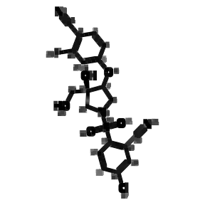 N#Cc1ccc(OC2CN(S(=O)(=O)c3ccc(Cl)cc3C#N)C[C@]2(O)CO)cc1F